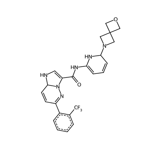 O=C(NC1=CC=CC(N2CC3(COC3)C2)N1)C1=CNC2C=CC(c3ccccc3C(F)(F)F)=NN12